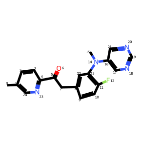 Cc1ccc(C(=O)Cc2ccc(F)c(N(C)c3cncnc3)c2)nc1